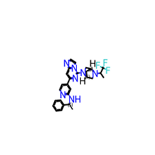 CC(N1C[C@@H]2C[C@H]1CN2c1nc(-c2ccnc(N[C@@H](C)c3ccccc3)c2)cc2nccn12)C(F)(F)F